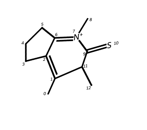 CC1=C2CCCC2=[N+](C)C(=S)C1C